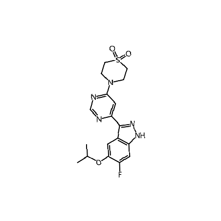 CC(C)Oc1cc2c(-c3cc(N4CCS(=O)(=O)CC4)ncn3)n[nH]c2cc1F